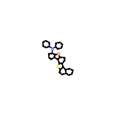 c1ccc(N(c2ccccc2)c2cccc3c2oc2ccc4c(sc5ccc6ccccc6c54)c23)cc1